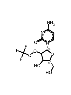 Nc1ccn([C@@H]2O[C@H](CO)C(O)C2OOC(F)(F)F)c(=O)n1